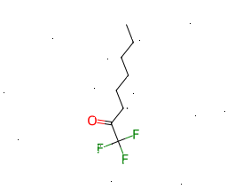 CCCCC[CH]C(=O)C(F)(F)F